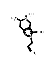 C=CCn1nc2c(c1C=O)CN(C(=O)O)C(C)C2